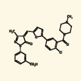 CC1=NN(c2cccc(C(=O)O)c2)C(=O)C1=Cc1ccc(-c2ccc(Cl)c(C(=O)N3CCN(C)CC3)c2)o1